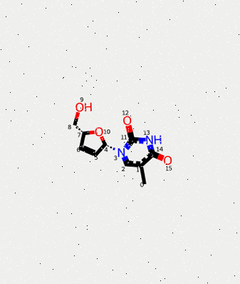 Cc1cn([C@@H]2C=C[C@H](CO)O2)c(=O)[nH]c1=O